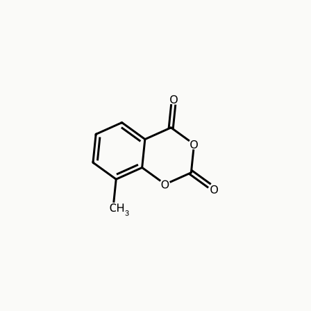 Cc1cccc2c(=O)oc(=O)oc12